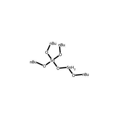 CCCC[O][SnH2][O][Sn]([O]CCCC)([O]CCCC)[O]CCCC